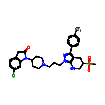 CS(=O)(=O)C1CNc2c(c(-c3ccc(C(F)(F)F)cc3)nn2CCCN2CCC(N3C(=O)Cc4ccc(Cl)cc43)CC2)C1